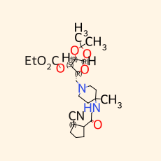 CCOC(=O)O[C@@H]1[C@H]2OC(C)(C)O[C@H]2O[C@@H]1CN1CCC(C)(NCC(=O)C2CCC[C@H]2C#N)CC1